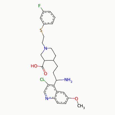 COc1ccc2ncc(Cl)c(C(N)CCC3CCN(CCSc4cccc(F)c4)CC3C(=O)O)c2c1